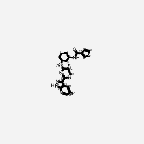 O=C(NC1CCCC(Nc2nc(-c3n[nH]c4ncc(F)cc34)ncc2F)C1)c1ccsc1